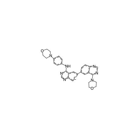 c1nc(Nc2ccc(N3CCOCC3)cc2)c2cc(-c3ccc4ncnc(N5CCOCC5)c4c3)ccc2n1